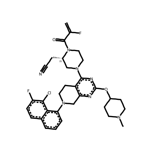 C=C(F)C(=O)N1CCN(c2nc(OC3CCN(C)CC3)nc3c2CCN(c2cccc4ccc(F)c(Cl)c24)C3)C[C@@H]1CC#N